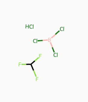 Cl.ClB(Cl)Cl.FC(F)F